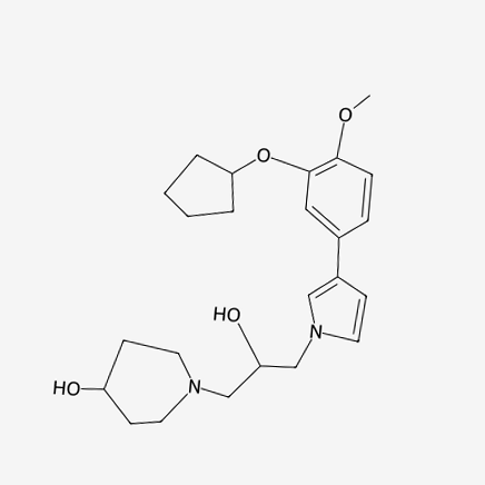 COc1ccc(-c2ccn(CC(O)CN3CCC(O)CC3)c2)cc1OC1CCCC1